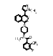 CN(C(=O)c1cccc(F)c1C(F)(F)F)C1CCN(c2nnc(-c3ccnn3C)c3ccccc23)CC1